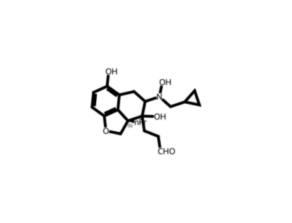 CCC[C@@]12COc3ccc(O)c(c31)CC(N(O)CC1CC1)C2(O)CCC=O